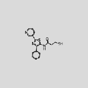 O=C(CCS)Nc1sc(-c2cccnc2)nc1-c1ccccc1